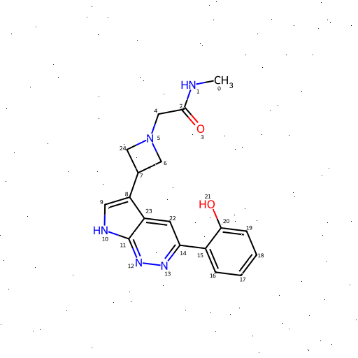 CNC(=O)CN1CC(c2c[nH]c3nnc(-c4ccccc4O)cc23)C1